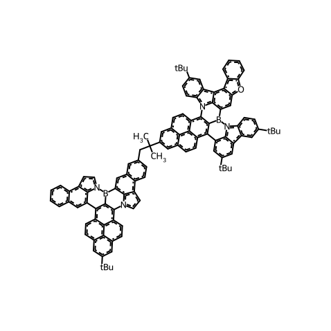 CC(C)(C)c1cc2ccc3c4c5c(c6ccc(c1)c2c36)-n1ccc2c3ccc(CC(C)(C)c6cc7ccc8c9c%10c(c%11ccc(c6)c7c8%11)-n6c7ccc(C(C)(C)C)cc7c7c8c(cc(c76)B%10n6c7ccc(C(C)(C)C)cc7c7cc(C(C)(C)C)cc-9c76)oc6ccccc68)cc3cc(c21)B5n1ccc2c3ccccc3cc-4c21